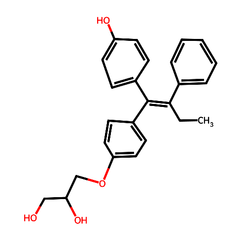 CCC(=C(c1ccc(O)cc1)c1ccc(OCC(O)CO)cc1)c1ccccc1